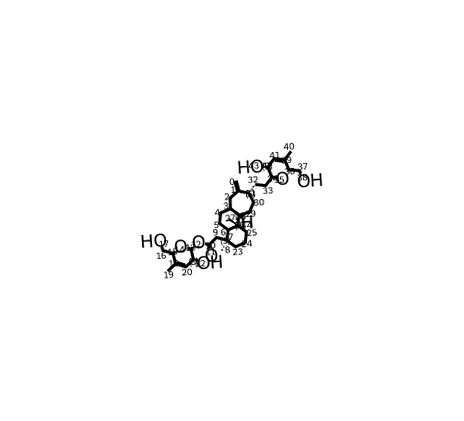 C=C1CC2CCC3[C@](C)(CC(=O)OC4OC(CO)C(C)=C[C@@H]4O)CCC[C@@]3(C)[C@@H]2CC[C@H]1CCC1OC(CO)C(C)=C[C@@H]1O